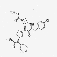 CC(C)C(=O)N(C1CCCCC1)[C@H]1CCN(NC(=O)[C@@H](Cc2ccc(Cl)cc2)NC2CN(C(=O)OC(C)(C)C)C2)C1